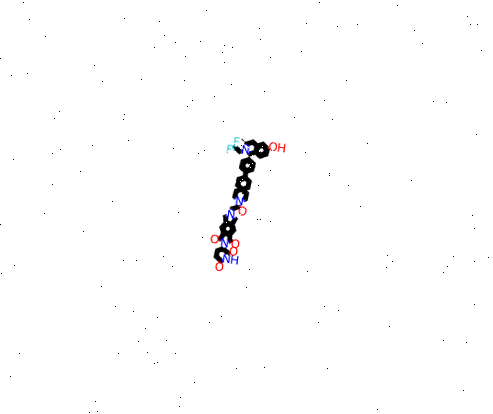 C[C@@H]1Cc2cc(O)ccc2[C@H](c2ccc(C3=CCC4(CC3)CCN(C(=O)CN3Cc5cc6c(cc5C3)C(=O)N(C3CCC(=O)NC3=O)C6=O)CC4)cc2)N1CC(F)F